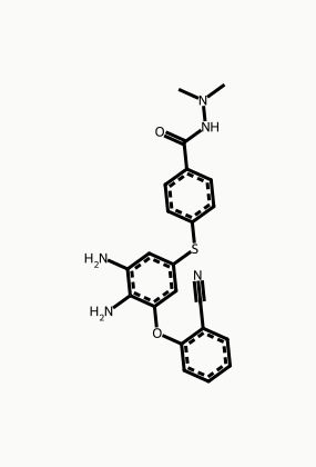 CN(C)NC(=O)c1ccc(Sc2cc(N)c(N)c(Oc3ccccc3C#N)c2)cc1